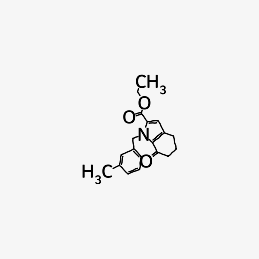 CCOC(=O)c1cc2c(n1Cc1cccc(C)c1)C(=O)CCC2